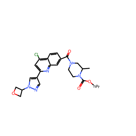 CCCOC(=O)N1CCN(C(=O)c2ccc3c(Cl)cc(-c4cnn(C5COC5)c4)nc3c2)CC1C